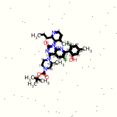 CCCC1N=CC=C(C)C1n1c(=O)nc(N2CCN(C(=O)OC(C)(C)C)C[C@@H]2C)c2cc(F)c(-c3c(O)cc(C)cc3F)nc21